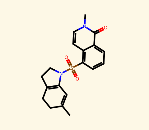 CC1=CC2=C(CC1)CCN2S(=O)(=O)c1cccc2c(=O)n(C)ccc12